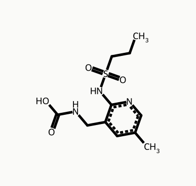 CCCS(=O)(=O)Nc1ncc(C)cc1CNC(=O)O